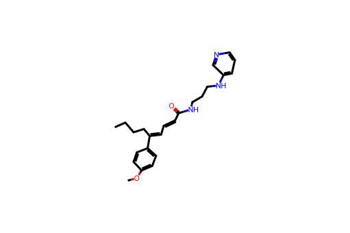 CCCC/C(=C\C=C\C(=O)NCCCNc1cccnc1)c1ccc(OC)cc1